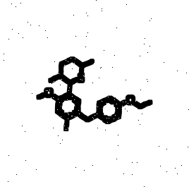 CCOc1ccc(Cc2cc(C3SC(C)CCC3C)c(OC)cc2C)cc1